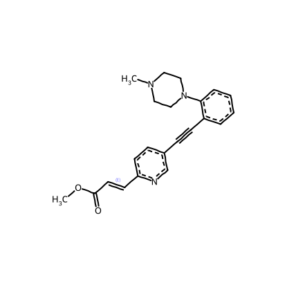 COC(=O)/C=C/c1ccc(C#Cc2ccccc2N2CCN(C)CC2)cn1